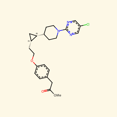 COC(=O)Cc1ccc(OCC[C@@H]2C[C@@H]2C2CCN(c3ncc(Cl)cn3)CC2)cc1